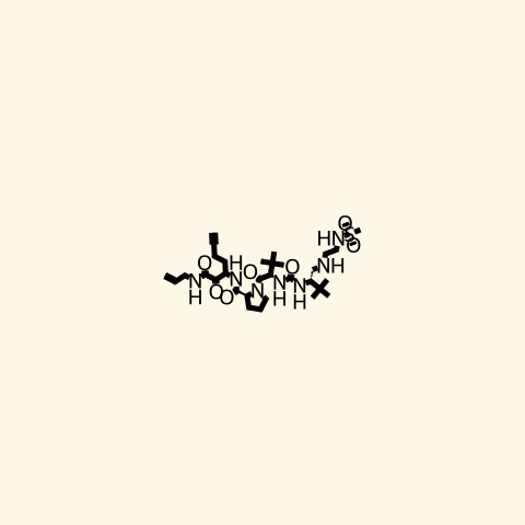 C#CCCC(NC(=O)[C@@H]1CCCN1C(=O)[C@@H](NC(=O)N[C@H](CNCCNS(C)(=O)=O)C(C)(C)C)C(C)(C)C)C(=O)C(=O)NCC=C